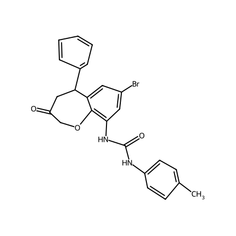 Cc1ccc(NC(=O)Nc2cc(Br)cc3c2OCC(=O)CC3c2ccccc2)cc1